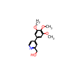 COc1cc(-c2ccnc(CO)c2)cc(OC)c1OC